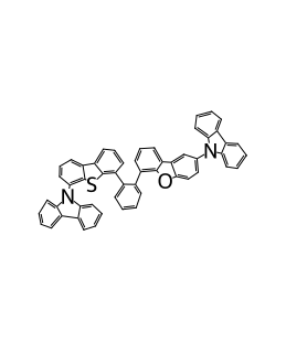 c1ccc(-c2cccc3c2sc2c(-n4c5ccccc5c5ccccc54)cccc23)c(-c2cccc3c2oc2ccc(-n4c5ccccc5c5ccccc54)cc23)c1